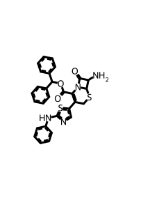 NC1C(=O)N2C(C(=O)OC(c3ccccc3)c3ccccc3)=C(c3cnc(Nc4ccccc4)s3)CSC12